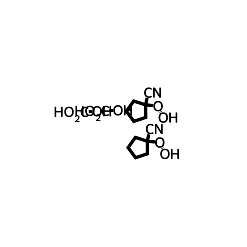 N#CC1(OO)CCCC1.N#CC1(OO)CCCC1.O=C(O)O.O=C(O)O